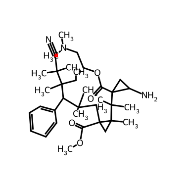 CCC(C)(C(c1ccccc1)C(C)(C)CC1(C(=O)OC)CC1(C)C(C)(C)C1(C(=O)OCCN(C)C)CC1N)C(C)(C)C#N